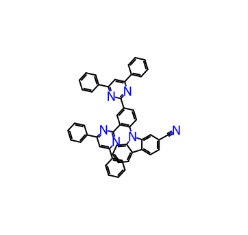 N#Cc1ccc2c3ccccc3n(-c3ccc(-c4nc(-c5ccccc5)cc(-c5ccccc5)n4)cc3-c3nc(-c4ccccc4)cc(-c4ccccc4)n3)c2c1